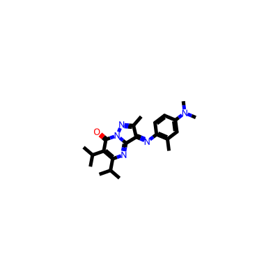 CC1=Nn2c(nc(C(C)C)c(C(C)C)c2=O)C1=Nc1ccc(N(C)C)cc1C